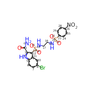 NC(=O)c1[nH]c2ccc(Br)cc2c1S(=O)(=O)NCCNS(=O)(=O)c1ccc([N+](=O)[O-])cc1